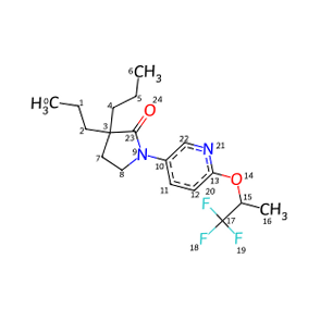 CCCC1(CCC)CCN(c2ccc(OC(C)C(F)(F)F)nc2)C1=O